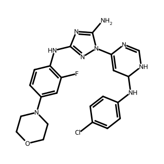 Nc1nc(Nc2ccc(N3CCOCC3)cc2F)nn1C1=CC(Nc2ccc(Cl)cc2)NC=N1